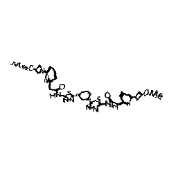 COC1CC(c2cccc(CC(=O)Nc3nnc([C@H]4CCC[C@H](c5nnc(NC(=O)Cc6cccc(N7CC(OC)C7)n6)s5)C4)s3)n2)C1